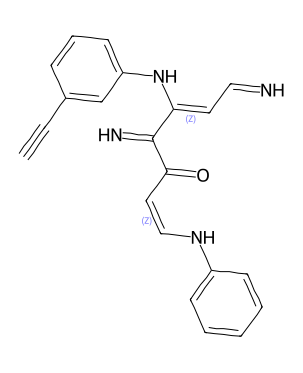 C#Cc1cccc(N/C(=C\C=N)C(=N)C(=O)/C=C\Nc2ccccc2)c1